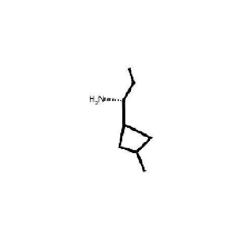 CC[C@@H](N)C1CC(C)C1